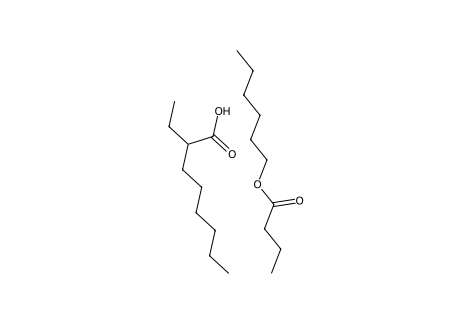 CCCCCCC(CC)C(=O)O.CCCCCCOC(=O)CCC